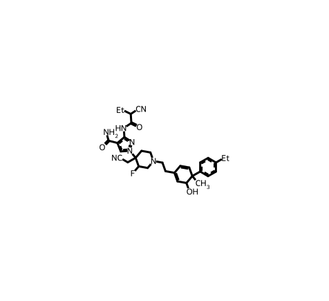 CCc1ccc(C2(C)C=CC(CCN3CCC(CC#N)(n4cc(C(N)=O)c(NC(=O)C(C#N)CC)n4)C(F)C3)=CC2O)cc1